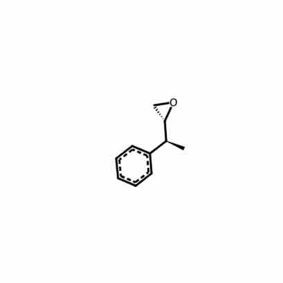 C[C@@H](c1ccccc1)[C@@H]1CO1